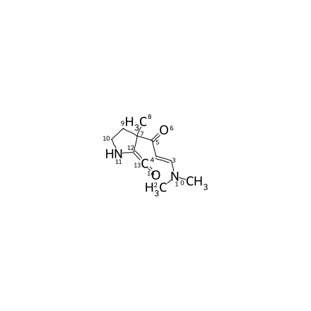 CN(C)C=CC(=O)C1(C)CCNC1=C=O